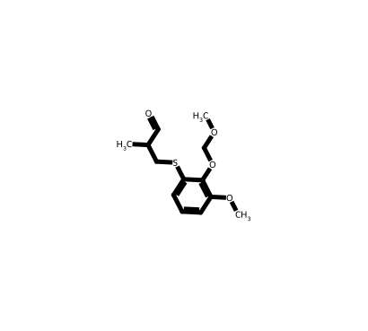 COCOc1c(OC)cccc1SCC(C)C=O